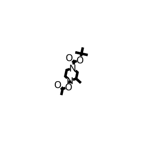 CC(=O)ON1CCN(C(=O)OC(C)(C)C)CC1C